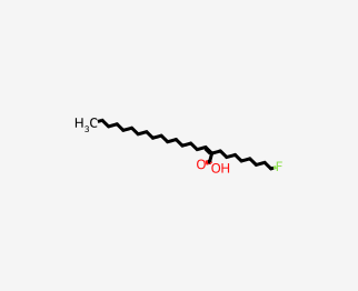 CCCCCCCCCCCCCCCC=C(CCCCCCCCF)C(=O)O